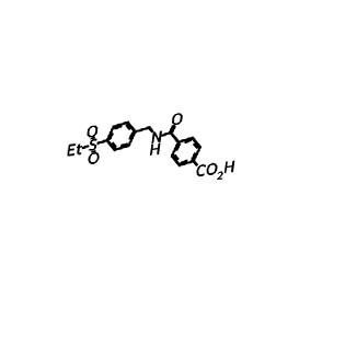 CCS(=O)(=O)c1ccc(CNC(=O)c2ccc(C(=O)O)cc2)cc1